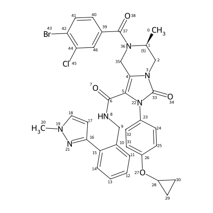 C[C@H]1Cn2c(c(C(=O)NCc3ccccc3-c3ccn(C)n3)n(-c3ccc(OC4CC4)cc3)c2=O)CN1C(=O)c1ccc(Br)c(Cl)c1